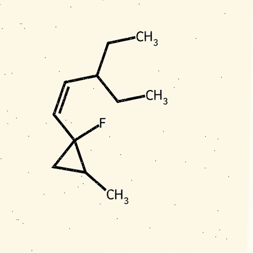 CCC(/C=C\C1(F)CC1C)CC